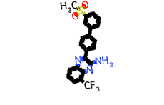 CS(=O)(=O)c1cccc(-c2ccc(-c3nc4cccc(C(F)(F)F)c4nc3N)cc2)c1